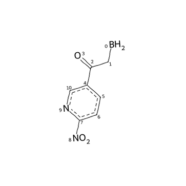 BCC(=O)c1ccc([N+](=O)[O-])nc1